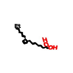 CCC=CCCC=C[C@H]1C=CC[C@@H]1CCCCCCC(O)CO